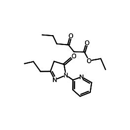 CCCC(=O)CC(=O)OCC.CCCC1=NN(c2ccccn2)C(=O)C1